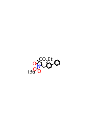 CCOC(=O)C1(C)C[C@@H](Cc2ccc(-c3ccccc3)cc2)N(C(=O)OC(C)(C)C)C1=O